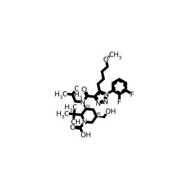 COCCCCc1c(C(=O)N(CC(C)C)[C@H]2C[C@@H](CO)CN(C(=O)O)C2C(C)(C)C)nnn1-c1cccc(F)c1F